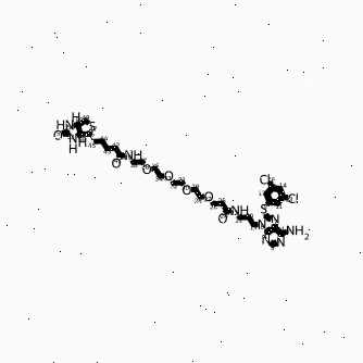 Nc1ncnc2c1nc(Sc1cc(Cl)cc(Cl)c1)n2CCCNC(=O)CCOCCOCCOCCOCCNC(=O)CCCC[C@H]1SC[C@@H]2NC(=O)N[C@@H]21